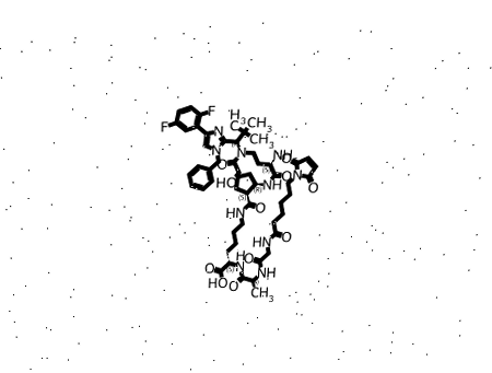 C[C@H](NC(=O)CNC(=O)CCCCCN1C(=O)C=CC1=O)C(=O)N[C@@H](CCCCNC(=O)[C@H]1CCC[C@H]1NC(=O)[C@@H](N)CCN(C(=O)CO)[C@@H](c1nc(-c2cc(F)ccc2F)cn1Cc1ccccc1)C(C)(C)C)C(=O)O